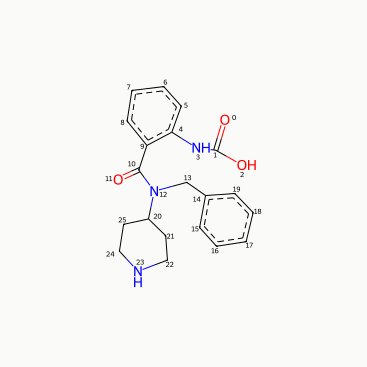 O=C(O)Nc1ccccc1C(=O)N(Cc1ccccc1)C1CCNCC1